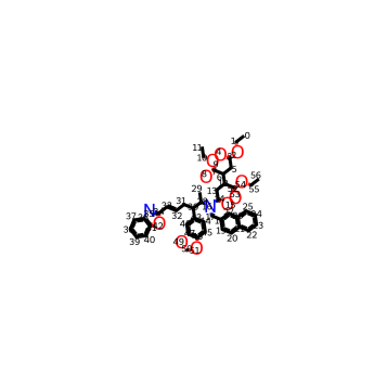 CCOC(=O)CC(C(=O)OCC)C(CC(=O)N(Cc1ccc2ccccc2c1)C(C)C(C/C=C/c1nc2ccccc2o1)c1ccc2c(c1)OCO2)C(=O)OCC